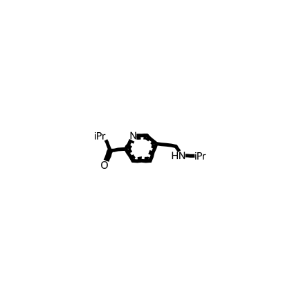 CC(C)NCc1ccc(C(=O)C(C)C)nc1